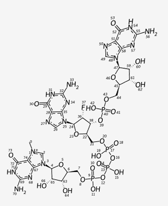 C[n+]1cn([C@H]2O[C@@H](COP(=O)(O)OP(=O)(O)OP(=O)(O)OC[C@H]3O[C@@H](n4cnc5c(=O)[nH]c(N)nc54)[C@H](F)[C@@H]3OP(=O)(O)OC[C@H]3O[C@@H](n4cnc5c(=O)[nH]c(N)nc54)[C@H](O)[C@@H]3O)[C@H](O)[C@@H]2O)c2nc(N)[nH]c(=O)c21